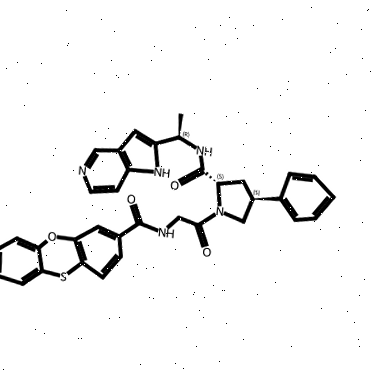 C[C@@H](NC(=O)[C@@H]1C[C@@H](c2ccccc2)CN1C(=O)CNC(=O)c1ccc2c(c1)Oc1ccccc1S2)c1cc2cnccc2[nH]1